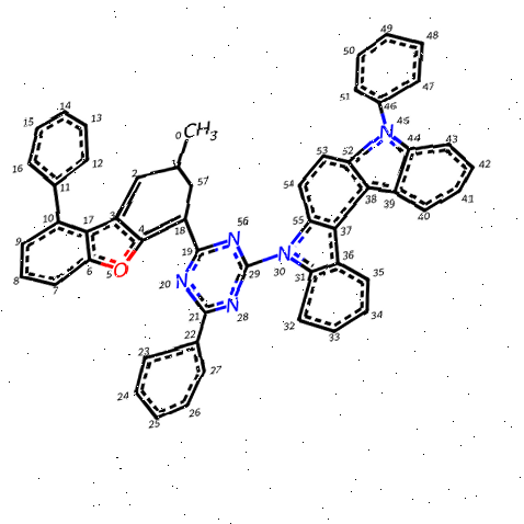 CC1C=c2c(oc3cccc(-c4ccccc4)c23)=C(c2nc(-c3ccccc3)nc(-n3c4ccccc4c4c5c6ccccc6n(-c6ccccc6)c5ccc43)n2)C1